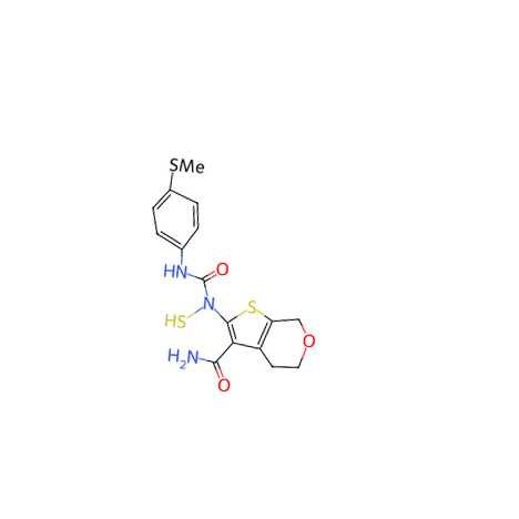 CSc1ccc(NC(=O)N(S)c2sc3c(c2C(N)=O)CCOC3)cc1